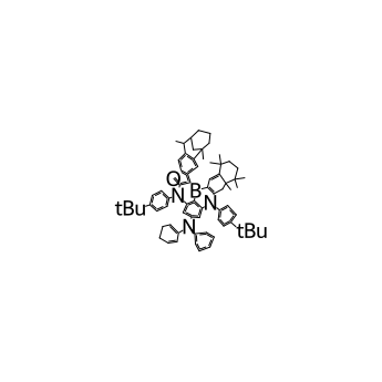 CC1c2cc3oc4c(c3cc2C2(C)CCCC1C2)B1C2=C(CC3(C)C(=C2)C(C)(C)CCC3(C)C)N(c2ccc(C(C)(C)C)cc2)c2cc(N(C3=CCCC=C3)c3ccccc3)cc(c21)N4c1ccc(C(C)(C)C)cc1